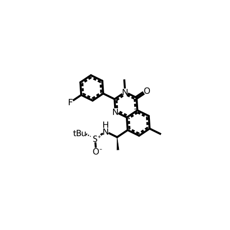 Cc1cc([C@@H](C)N[S@+]([O-])C(C)(C)C)c2nc(-c3cccc(F)c3)n(C)c(=O)c2c1